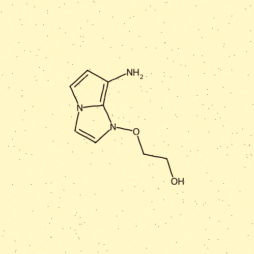 Nc1ccn2ccn(OCCO)c12